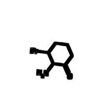 CC(C)C1CCCC(=O)C1N